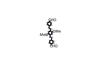 COc1cc(/C=C/c2ccc(C=O)cc2)c(OC)cc1/C=C/c1ccc(C=O)cc1